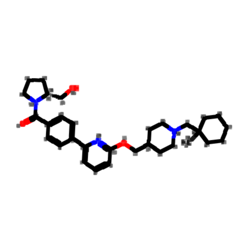 O=C(c1ccc(-c2cccc(OCC3CCN(CC4(C(F)(F)F)CCCCC4)CC3)n2)cc1)N1CCC[C@@H]1CO